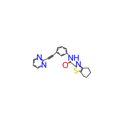 O=C(Nc1cccc(C#Cc2ncccn2)c1)c1nc2c(s1)CCCC2